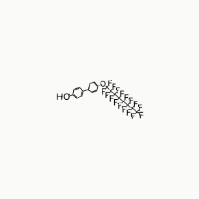 Oc1ccc(-c2ccc(OC(F)(F)C(F)(F)C(F)(F)C(F)(F)C(F)(F)C(F)(F)C(F)(F)C(F)(F)F)cc2)cc1